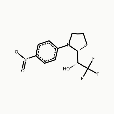 O=[N+]([O-])c1ccc(N2CCC[C@@H]2[C@@H](O)C(F)(F)F)cc1